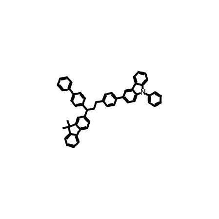 CC1(C)c2ccccc2-c2ccc(C(CCc3ccc(-c4ccc5c(c4)c4ccccc4n5-c4ccccc4)cc3)c3ccc(-c4ccccc4)cc3)cc21